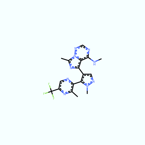 CNc1ncnn2c(C)nc(-c3cnn(C)c3-c3ncc(C(F)(F)F)nc3C)c12